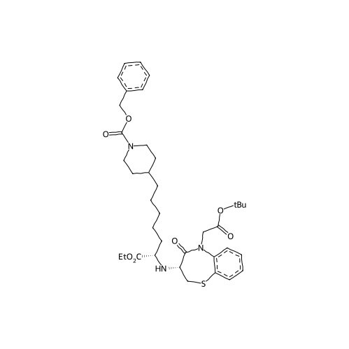 CCOC(=O)[C@H](CCCCCC1CCN(C(=O)OCc2ccccc2)CC1)N[C@H]1CSc2ccccc2N(CC(=O)OC(C)(C)C)C1=O